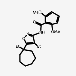 CCc1c(NC(=O)c2c(OC)cccc2OC)noc1C1(CC)CCCCCC1